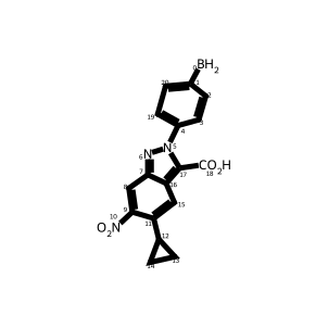 Bc1ccc(-n2nc3cc([N+](=O)[O-])c(C4CC4)cc3c2C(=O)O)cc1